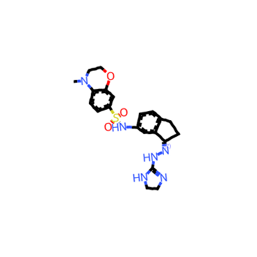 CN1CCOc2cc(S(=O)(=O)Nc3ccc4c(c3)/C(=N\NC3=NCCN3)CC4)ccc21